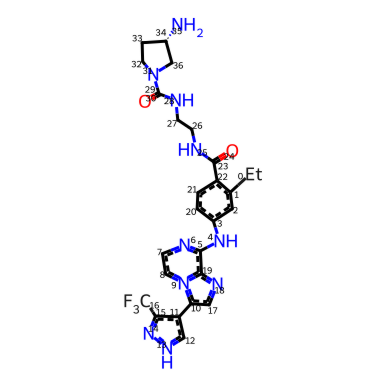 CCc1cc(Nc2nccn3c(-c4c[nH]nc4C(F)(F)F)cnc23)ccc1C(=O)NCCNC(=O)N1CC[C@H](N)C1